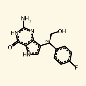 Nc1nc2c([C@@H](CO)c3ccc(F)cc3)c[nH]c2c(=O)[nH]1